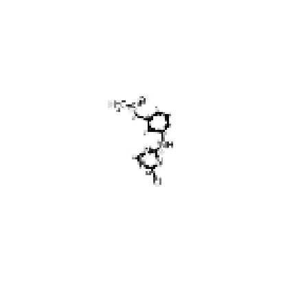 C[S+]([O-])Cc1cccc(Nc2ncnc(Cl)n2)c1